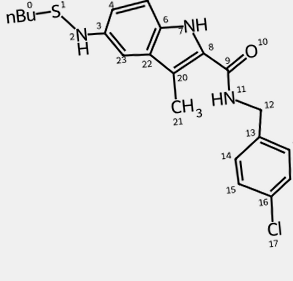 CCCCSNc1ccc2[nH]c(C(=O)NCc3ccc(Cl)cc3)c(C)c2c1